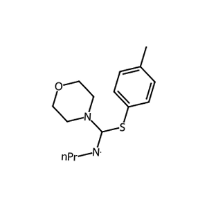 CCC[N]C(Sc1ccc(C)cc1)N1CCOCC1